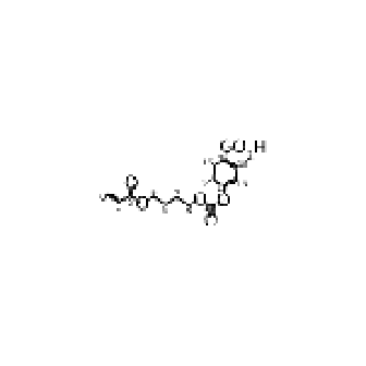 C=CC(=O)OCCCCOC(=O)Oc1ccc(C(=O)O)cc1